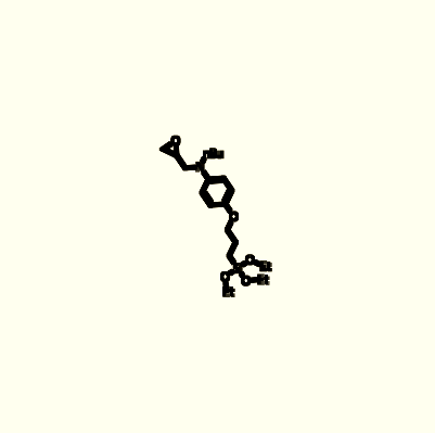 CCCCN(CC1CO1)c1ccc(OCCC[Si](OCC)(OCC)OCC)cc1